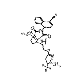 CN1N=C(OCC[C@@]23CC[C@@](C)(O2)[C@H]2C(=O)N(c4ccc(C#N)c5ccccc45)C(=O)[C@H]23)CC1C(F)(F)F